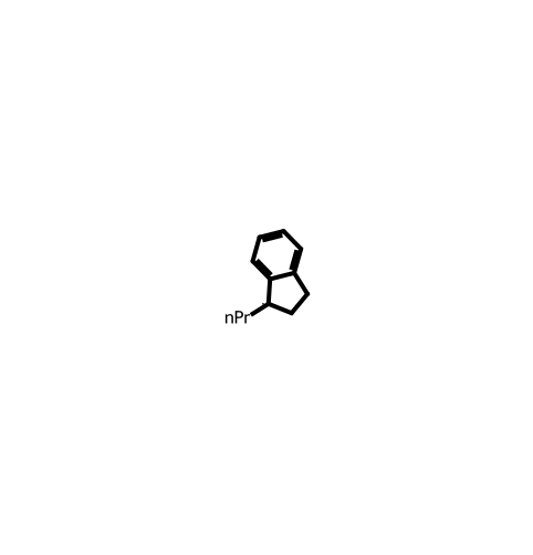 CCC[C]1CCc2ccccc21